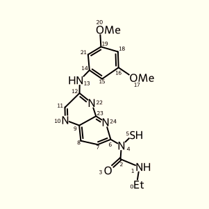 CCNC(=O)N(S)c1ccc2ncc(Nc3cc(OC)cc(OC)c3)nc2n1